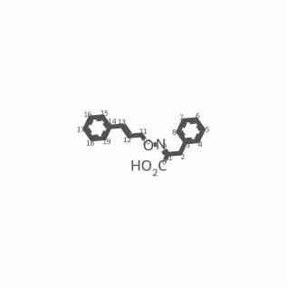 O=C(O)C(Cc1ccccc1)=NOCC=Cc1ccccc1